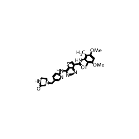 COc1cc(OC)c(I)c(NC(=O)c2csc3c(Nc4ccc(CN5CCNC(=O)C5)cn4)ncnc23)c1C